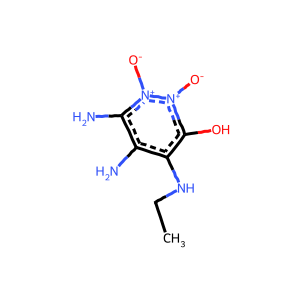 CCNc1c(N)c(N)[n+]([O-])[n+]([O-])c1O